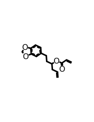 C=CCC(CCc1ccc2c(c1)OCO2)OC(=O)C=C